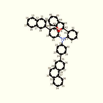 c1ccc(N(c2ccc(-c3ccc4ccccc4c3)cc2)c2ccc(-c3ccc4c(ccc5ccccc54)c3)cc2)c(-c2cc3ccccc3o2)c1